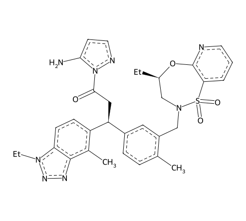 CC[C@@H]1CN(Cc2cc([C@H](CC(=O)n3nccc3N)c3ccc4c(nnn4CC)c3C)ccc2C)S(=O)(=O)c2cccnc2O1